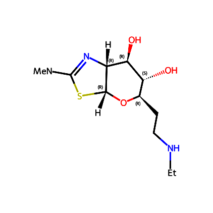 CCNCC[C@H]1O[C@@H]2SC(NC)=N[C@@H]2[C@@H](O)[C@@H]1O